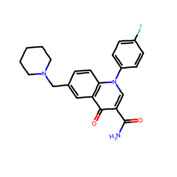 NC(=O)c1cn(-c2ccc(F)cc2)c2ccc(CN3CCCCC3)cc2c1=O